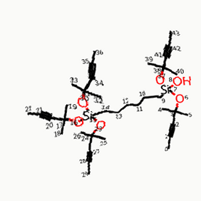 CC#CC(C)(C)O[Si](O)(CCCCCC[Si](OC(C)(C)C#CC)(OC(C)(C)C#CC)OC(C)(C)C#CC)OC(C)(C)C#CC